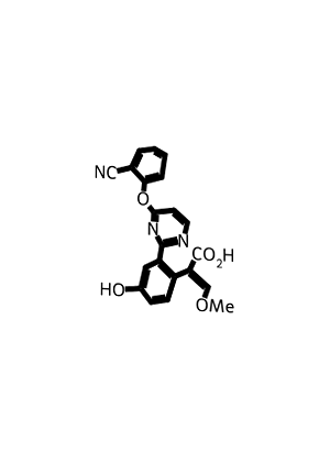 CO/C=C(/C(=O)O)c1ccc(O)cc1-c1nccc(Oc2ccccc2C#N)n1